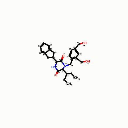 CCC(CC)C1C(=O)NC(C2Cc3ccccc3C2)C(=O)N1Cc1ccc(CO)cc1CO